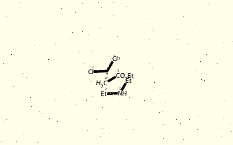 CCNCC.CCOC(C)=O.ClCCl